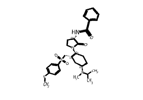 CSc1ccc(S(=O)(=O)C[C@H]2C[C@H](N(C)C(C)C)CC[C@@H]2N2CC[C@H](NC(=O)c3ccccc3)C2=O)cc1